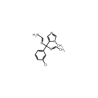 C/C=N/C(/N=C/N)(c1cccc(Cl)c1)c1cncn1C